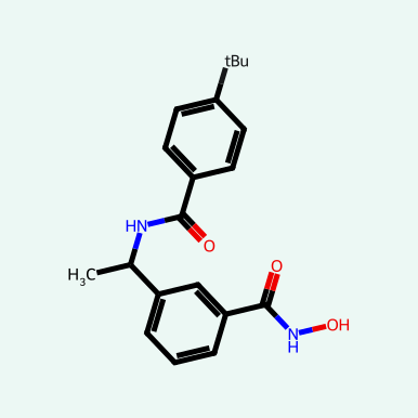 CC(NC(=O)c1ccc(C(C)(C)C)cc1)c1cccc(C(=O)NO)c1